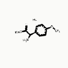 COC(=O)C(N)c1ccc(OC(F)(F)F)cc1.Cl